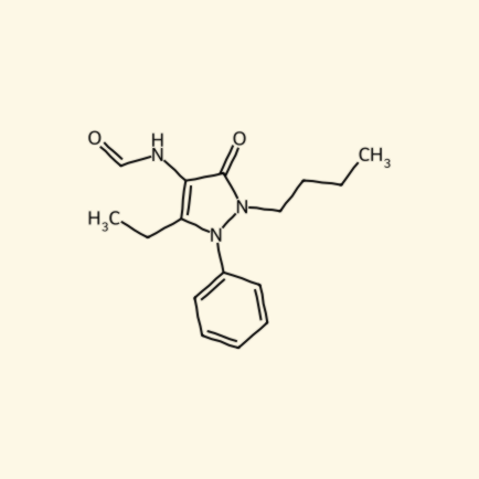 CCCCn1c(=O)c(NC=O)c(CC)n1-c1ccccc1